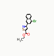 CCOC(=O)c1cc(-c2cc(Br)c3ccccc3c2)ns1